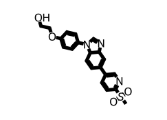 CS(=O)(=O)c1ccc(C2=CC3N=CN(c4ccc(OCCO)cc4)C3C=C2)cn1